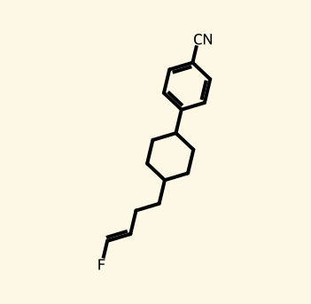 N#Cc1ccc(C2CCC(CCC=CF)CC2)cc1